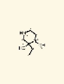 CCC1(O)CNCCN1O